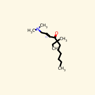 CCCCCCC(C)(CC)C(=O)/C=C/CN(C)C